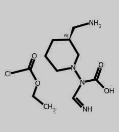 CCOC(=O)Cl.N=CN(C(=O)O)N1CCC[C@@H](CN)C1